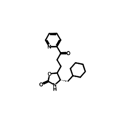 O=C1N[C@@H](CC2CCCCC2)C(CCC(=O)c2ccccn2)O1